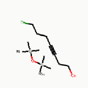 CC(C)(C)[Si](C)(C)O[Si](C)(C)C(C)(C)C.OCCC#CCCCCl